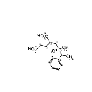 CC(c1ccccc1)P(=O)(O)CC(CCC(=O)O)C(=O)O